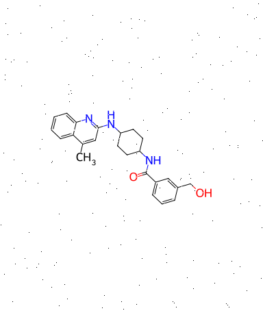 Cc1cc(NC2CCC(NC(=O)c3cccc(CO)c3)CC2)nc2ccccc12